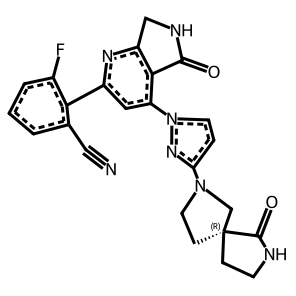 N#Cc1cccc(F)c1-c1cc(-n2ccc(N3CC[C@]4(CCNC4=O)C3)n2)c2c(n1)CNC2=O